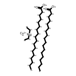 CCCCCCCCCCCCCCCCCC(=O)[O-].CCCCCCCCCCCCCCCCCC(=O)[O-].C[CH2][Mg][CH2]C.[Cu+2]